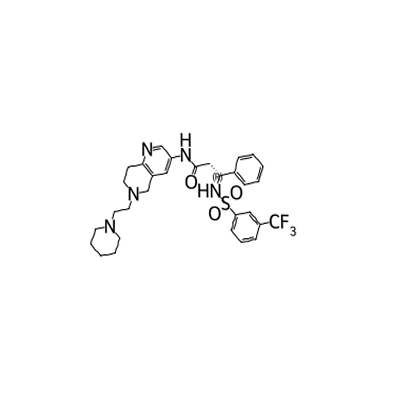 O=C(C[C@@H](NS(=O)(=O)c1cccc(C(F)(F)F)c1)c1ccccc1)Nc1cnc2c(c1)CN(CCN1CCCCC1)CC2